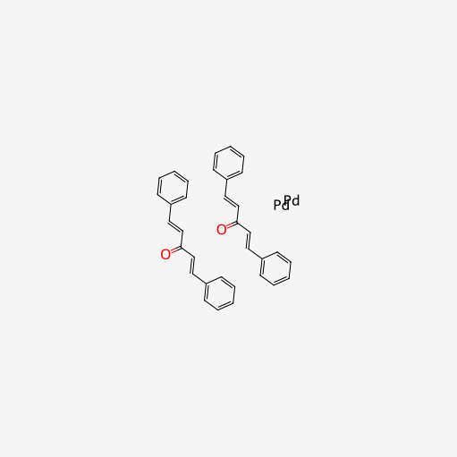 O=C(/C=C/c1ccccc1)/C=C/c1ccccc1.O=C(/C=C/c1ccccc1)/C=C/c1ccccc1.[Pd].[Pd]